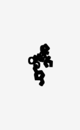 C=Cc1ccc(COC(=O)C(C)(COC(C)(CC)CC)COC(C)(CC)CC)cc1